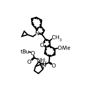 COc1cc(C(=O)N2CC3CCC2[C@@H]3NC(=O)OC(C)(C)C)cc2oc(-c3cc4ccccc4n3CC3CC3)c(C)c12